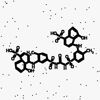 Cc1ccc(S(=O)(=O)NC(=O)NS(=O)(=O)c2ccc(C)c(Nc3ccc(S(=O)(=O)O)c4cccc(O)c34)c2)cc1Nc1ccc(S(=O)(=O)O)c2cccc(O)c12